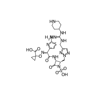 N=C(NCc1cnn(C[C@@H]2[C@H](NC(=O)/C(=N\OC3(C(=O)O)CC3)c3csc(N)n3)C(=O)N2S(=O)(=O)O)n1)NC1CCNCC1